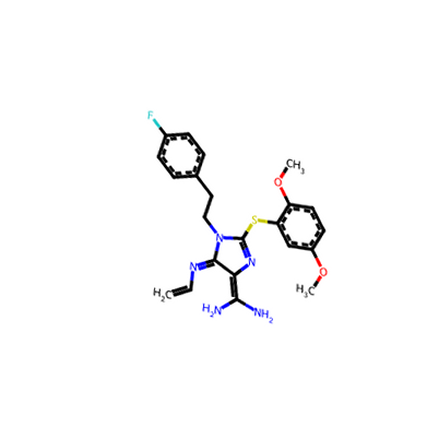 C=C/N=C1\C(=C(N)N)N=C(Sc2cc(OC)ccc2OC)N1CCc1ccc(F)cc1